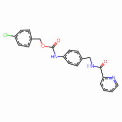 O=C(Nc1ccc(CNC(=O)c2ccccn2)cc1)OCc1ccc(Cl)cc1